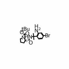 CC(C)(C)OC(=O)N1CCC[C@H]1C(=O)NC(C)(C)c1ccc(Br)cc1N